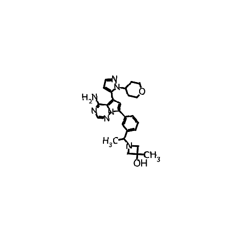 CC(c1cccc(-c2cc(-c3ccnn3C3CCOCC3)c3c(N)ncnn23)c1)N1CC(C)(O)C1